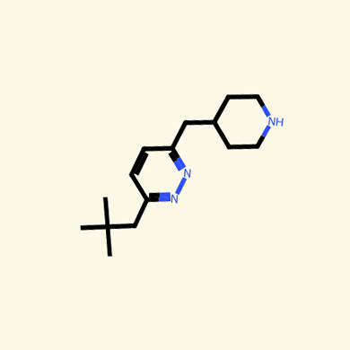 CC(C)(C)Cc1ccc(CC2CCNCC2)nn1